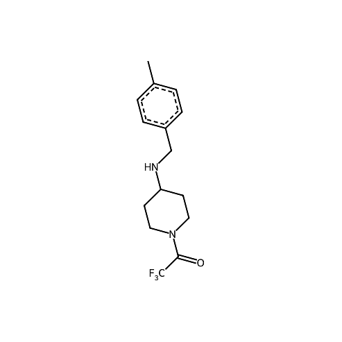 Cc1ccc(CNC2CCN(C(=O)C(F)(F)F)CC2)cc1